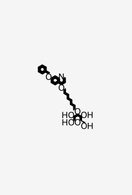 OC[C@H]1OC(O)[C@H](O)[C@@H](OCCCCCCCCOc2ccnc3cc(OCc4ccccc4)ccc23)[C@@H]1O